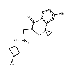 N#C[C@H]1C[C@H](NC(=O)CN2CC3(CC3)c3cc(Br)ccc3C2=O)C1